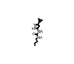 CCCCNC(=O)Nc1cc(C2CC2)n[nH]1